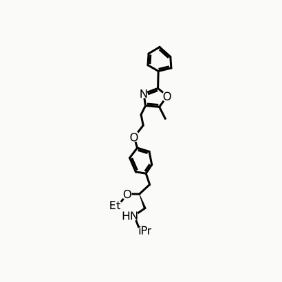 CCO[C@H](CNC(C)C)Cc1ccc(OCCc2nc(-c3ccccc3)oc2C)cc1